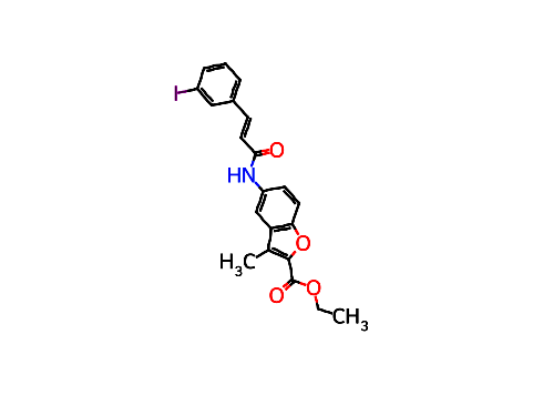 CCOC(=O)c1oc2ccc(NC(=O)C=Cc3cccc(I)c3)cc2c1C